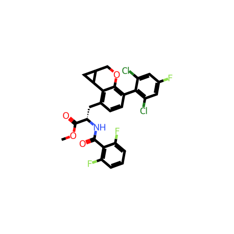 COC(=O)[C@H](Cc1ccc(-c2c(Cl)cc(F)cc2Cl)c2c1C1CC1CO2)NC(=O)c1c(F)cccc1F